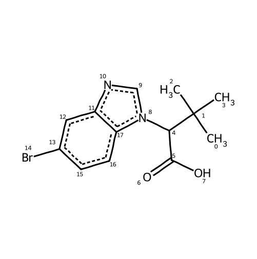 CC(C)(C)C(C(=O)O)n1cnc2cc(Br)ccc21